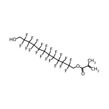 C=C(C)C(=O)OCC(F)(F)C(F)(F)C(F)(F)C(F)(F)C(F)(F)C(F)(F)C(F)(F)C(F)(F)C(F)(F)C(F)(F)CO